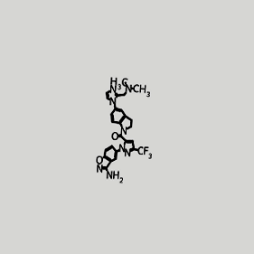 CN(C)Cc1nccn1-c1ccc2c(c1)CCN2C(=O)c1cc(C(F)(F)F)nn1-c1ccc2onc(N)c2c1